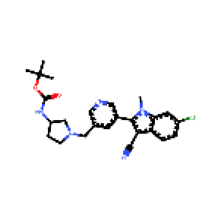 Cn1c(-c2cncc(CN3CCC(NC(=O)OC(C)(C)C)C3)c2)c(C#N)c2ccc(Cl)cc21